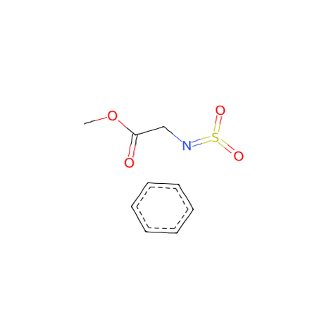 COC(=O)CN=S(=O)=O.c1ccccc1